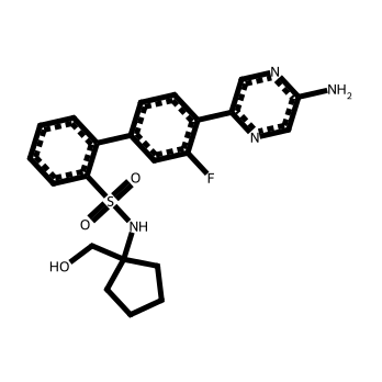 Nc1cnc(-c2ccc(-c3ccccc3S(=O)(=O)NC3(CO)CCCC3)cc2F)cn1